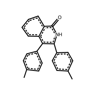 Cc1ccc(-c2[nH]c(=O)c3ccccc3c2-c2ccc(C)cc2)cc1